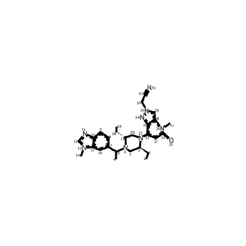 CC[C@H]1CN(C(C)c2ccc3ncn(C)c3c2)[C@H](CC)CN1c1cc(=O)n(C)c2cn(CC#N)nc12